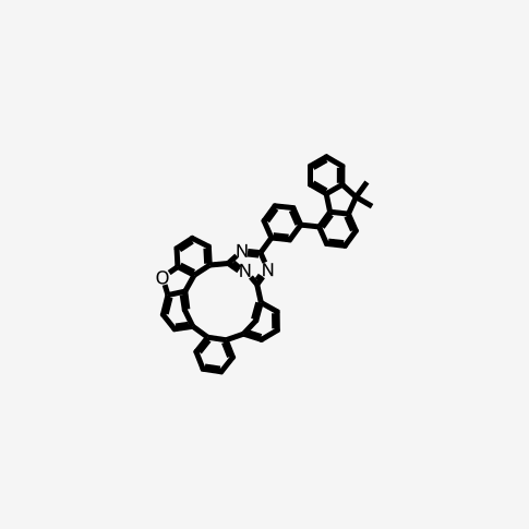 CC1(C)c2ccccc2-c2c(-c3cccc(-c4nc5nc(n4)c4cccc6oc7ccc(cc7c64)c4ccccc4c4cccc5c4)c3)cccc21